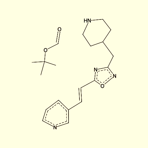 C(=C\c1nc(CC2CCNCC2)no1)/c1cccnc1.CC(C)(C)OC=O